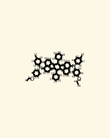 CCOc1ccc(N(c2ccc(C)cc2)c2ccc3c4c(-c5ccccc5)c5c6cccc7c(N(c8ccc(C)cc8)c8ccc(OCC)cc8)ccc(c5c(-c5ccccc5)c4c4cccc2c43)c76)cc1